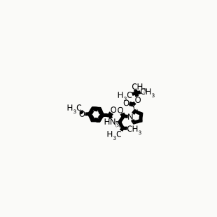 COc1ccc(C(=O)N[C@H](C(=O)N2CCC[C@H]2C(=O)OC(C)(C)C)C(C)C)cc1